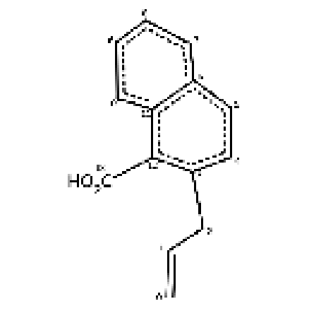 C=CCc1ccc2ccccc2c1C(=O)O